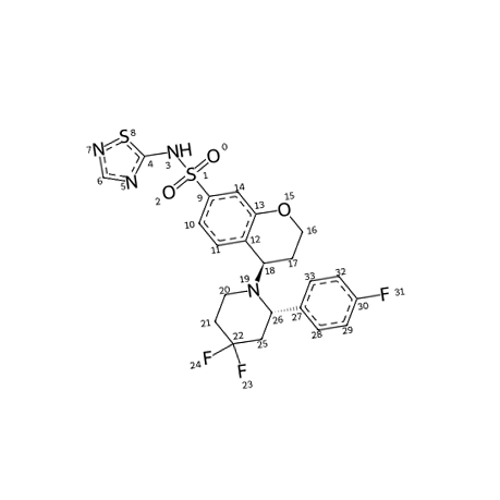 O=S(=O)(Nc1ncns1)c1ccc2c(c1)OCC[C@H]2N1CCC(F)(F)C[C@H]1c1ccc(F)cc1